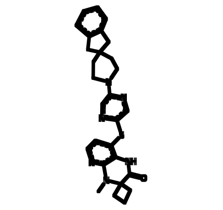 CN1c2nccc(Sc3cnc(N4CCC5(CC4)Cc4ccccc4C5)cn3)c2NC(=O)C12CCC2